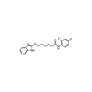 O=C(CCCCCSc1nc2ccccc2[nH]1)Nc1ccc(F)cc1F